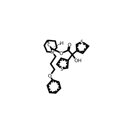 O=C(O[C@@H]1CC2CC[N+]1(CCCOc1ccccc1)CC2)C(O)(c1ccsc1)c1ccsc1